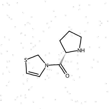 O=C([C@@H]1CCCN1)N1C=CSC1